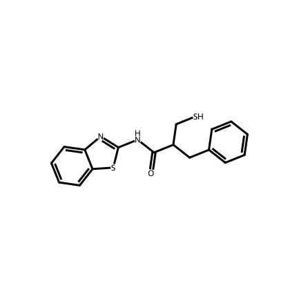 O=C(Nc1nc2ccccc2s1)C(CS)Cc1ccccc1